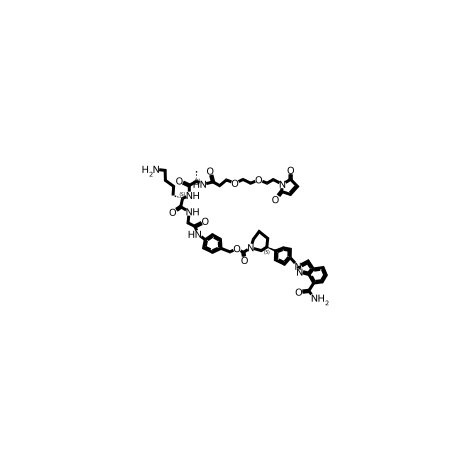 C[C@H](NC(=O)CCOCCOCCN1C(=O)C=CC1=O)C(=O)N[C@@H](CCCCN)C(=O)NCC(=O)Nc1ccc(COC(=O)N2CCC[C@@H](c3ccc(-n4cc5cccc(C(N)=O)c5n4)cc3)C2)cc1